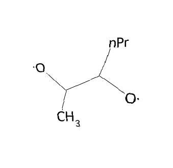 CCCC([O])C(C)[O]